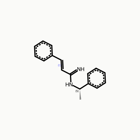 C[C@H](NC(=N)/C=C/c1ccccc1)c1ccccc1